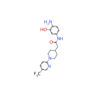 Nc1ccc(NC(=O)CC2CCN(c3ccc(C(F)(F)F)cn3)CC2)cc1O